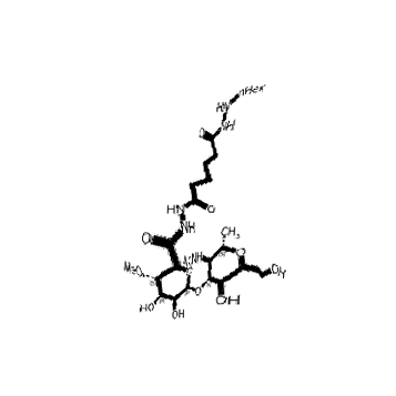 CCCCCCNNC(=O)CCCCC(=O)NNC(=O)C1O[C@@H](O[C@@H]2C(O)C(CO)O[C@@H](C)C2NC(C)=O)C(O)[C@@H](O)[C@@H]1OC